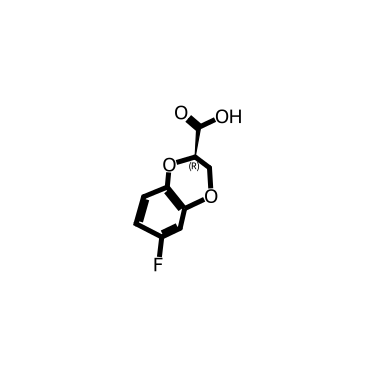 O=C(O)[C@H]1COc2cc(F)ccc2O1